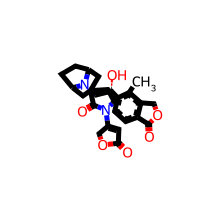 Cc1c([C@@H](O)CN2C3CCC2CC2(CCN(C4=CC(=O)OC4)C2=O)C3)ccc2c1COC2=O